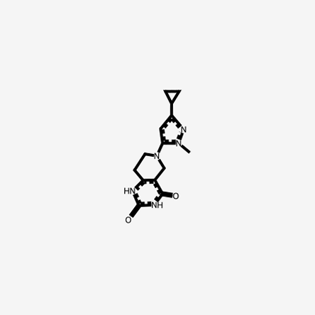 Cn1nc(C2CC2)cc1N1CCc2[nH]c(=O)[nH]c(=O)c2C1